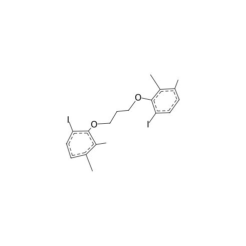 Cc1ccc(I)c(OCCCOc2c(I)ccc(C)c2C)c1C